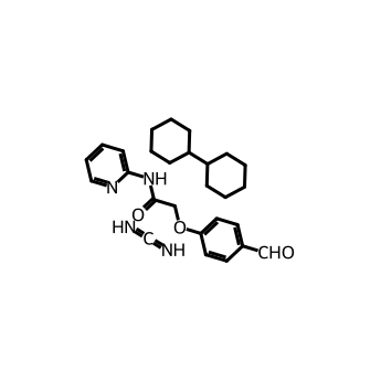 C1CCC(C2CCCCC2)CC1.N=C=N.O=Cc1ccc(OCC(=O)Nc2ccccn2)cc1